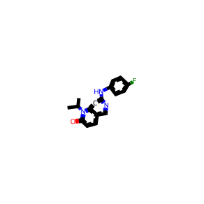 CC(C)n1c(=O)ccc2cnc(Nc3ccc(F)cc3)cc21